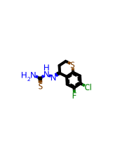 NC(=S)NN=C1CCSc2cc(Cl)c(F)cc21